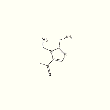 CC(=O)c1cnc(CN)n1CN